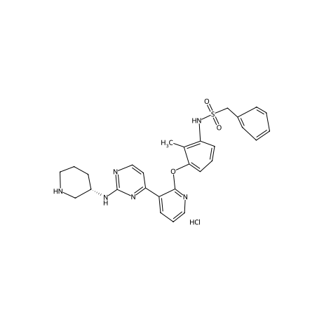 Cc1c(NS(=O)(=O)Cc2ccccc2)cccc1Oc1ncccc1-c1ccnc(N[C@H]2CCCNC2)n1.Cl